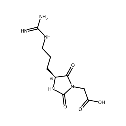 N=C(N)NCCC[C@@H]1NC(=O)N(CC(=O)O)C1=O